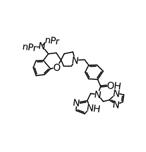 CCCN(CCC)C1CC2(CCN(Cc3ccc(C(=O)N(Cc4ncc[nH]4)Cc4ncc[nH]4)cc3)CC2)Oc2ccccc21